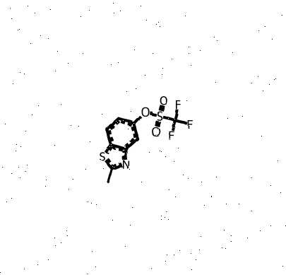 Cc1nc2cc(OS(=O)(=O)C(F)(F)F)ccc2s1